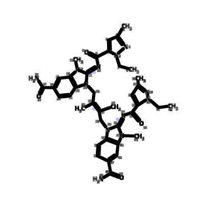 CCn1nc(C)cc1C(=O)/N=c1\n(C)c2cc(C(N)=O)ccc2n1C/C(C)=C(\C)Cn1/c(=N/C(=O)c2cc(C)nn2CC)n(C)c2cc(C(N)=O)ccc21